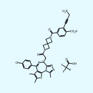 Cc1sc2c(c1C)C(c1ccc(Cl)cc1)=N[C@@H](CC(=O)N1CC3(C1)CN(C(=O)c1ccc(C(=O)O)c(C#CCN)c1)C3)c1nnc(C)n1-2.O=C(O)C(F)(F)F